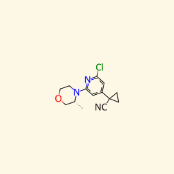 C[C@@H]1COCCN1c1cc(C2(C#N)CC2)cc(Cl)n1